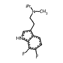 CC(C)N(C)CCc1c[nH]c2c(F)c(F)ccc12